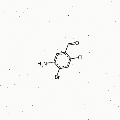 Nc1cc(C=O)c(Cl)cc1Br